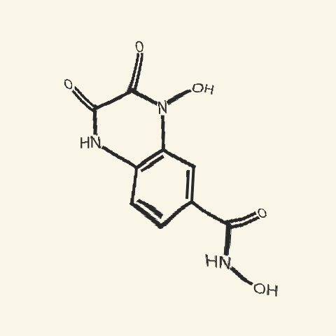 O=C(NO)c1ccc2[nH]c(=O)c(=O)n(O)c2c1